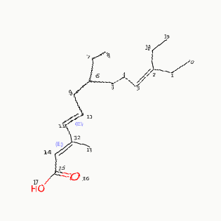 CCC(=CCCC(CC)C/C=C/C(C)=C/C(=O)O)CC